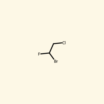 F[C](Br)CCl